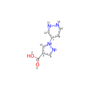 O=C(O)c1cnn(-c2ccnnc2)c1